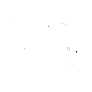 Cc1cnc2ccc(-c3nc(CNC(=O)[C@H]4CCCC4=O)c(N)nc3-c3ccc(F)cc3)cn12